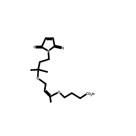 C/C(=C/COC(C)(C)CCN1C(=O)C=CC1=O)OCCCC(=O)O